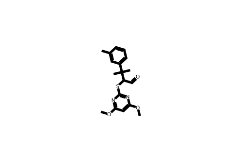 COc1cc(OC)nc(SC(C=O)C(C)(C)c2cccc(C)c2)n1